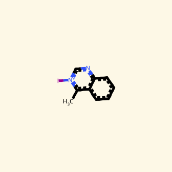 Cc1c2ccccc2nc[n+]1I